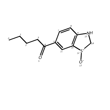 CCCCC(=O)c1ccc2c(c1)[S+]([O-])CN2